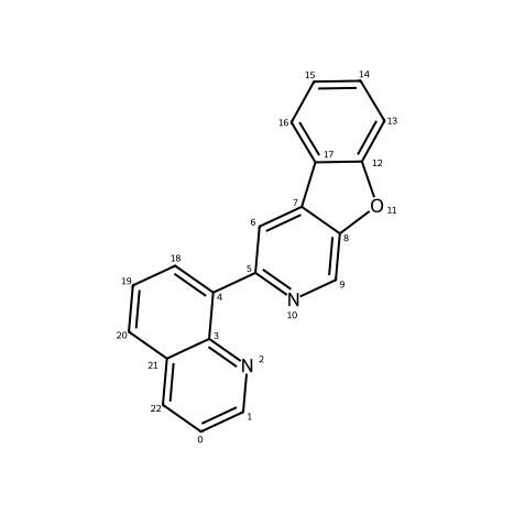 c1cnc2c(-c3cc4c(cn3)oc3ccccc34)cccc2c1